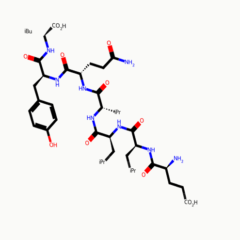 CC[C@H](C)[C@H](NC(=O)[C@H](Cc1ccc(O)cc1)NC(=O)[C@H](CCC(N)=O)NC(=O)[C@@H](NC(=O)[C@H](CC(C)C)NC(=O)[C@H](CC(C)C)NC(=O)[C@@H](N)CCC(=O)O)C(C)C)C(=O)O